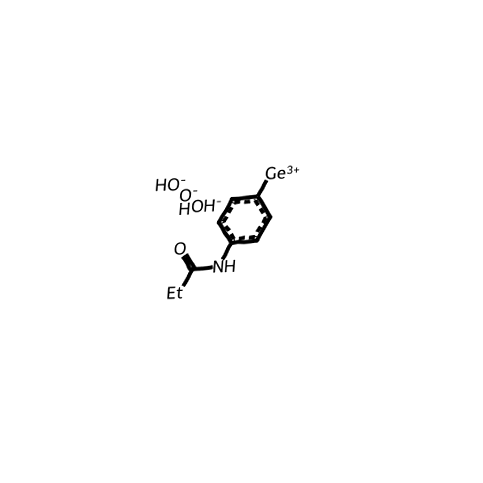 CCC(=O)Nc1cc[c]([Ge+3])cc1.[OH-].[OH-].[OH-]